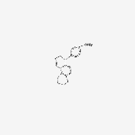 COc1ccc(C2CC=Cc3c2ccc2c3CCCC2)cc1